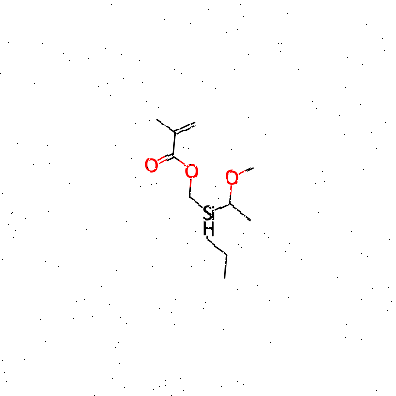 C=C(C)C(=O)OC[SiH](CCC)C(C)OC